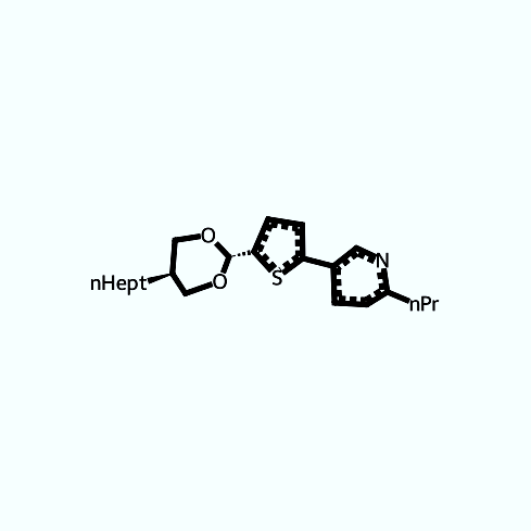 CCCCCCC[C@H]1CO[C@H](c2ccc(-c3ccc(CCC)nc3)s2)OC1